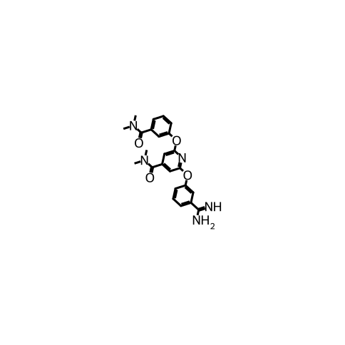 CN(C)C(=O)c1cccc(Oc2cc(C(=O)N(C)C)cc(Oc3cccc(C(=N)N)c3)n2)c1